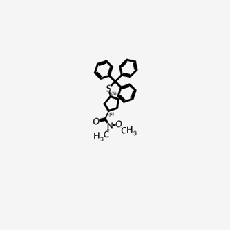 CON(C)C(=O)[C@@H]1CC[C@H](SC(c2ccccc2)(c2ccccc2)c2ccccc2)C1